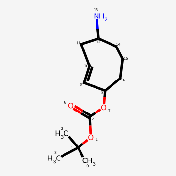 CC(C)(C)OC(=O)OC1/C=C/CC(N)CCC1